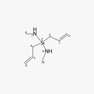 C=CC[Si](CC=C)(NC)NC